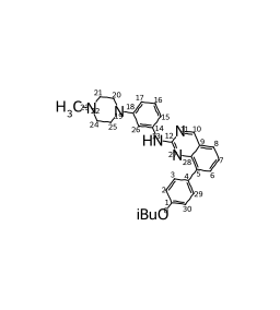 CC(C)COc1ccc(-c2cccc3cnc(Nc4cccc(N5CCN(C)CC5)c4)nc23)cc1